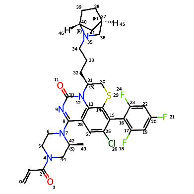 C=CC(=O)N1CCN(c2nc(=O)n3c4c(c(-c5c(F)cc(F)cc5F)c(Cl)cc24)SC[C@@H]3CCCN2C[C@@H]3CC[C@@H]2C3)[C@@H](C)C1